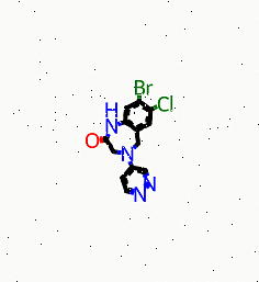 O=C1CN(c2ccnnc2)Cc2cc(Cl)c(Br)cc2N1